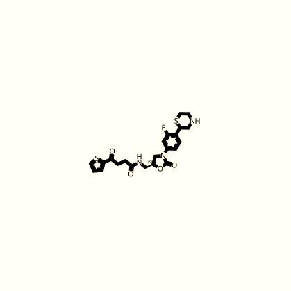 O=C(CCC(=O)c1cccs1)NC[C@H]1CN(c2ccc(C3CNCCS3)c(F)c2)C(=O)O1